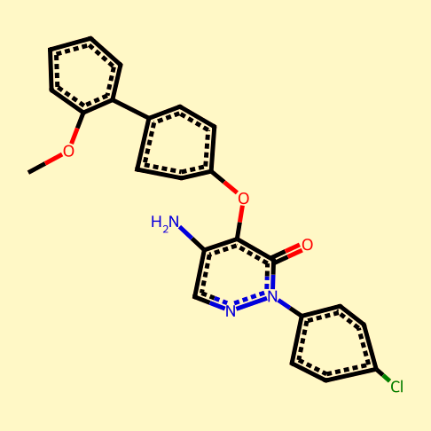 COc1ccccc1-c1ccc(Oc2c(N)cnn(-c3ccc(Cl)cc3)c2=O)cc1